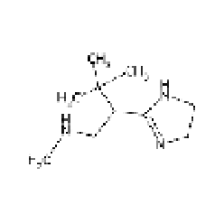 CNCC(C1=NCCN1)C(C)(C)C